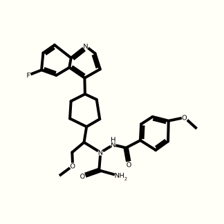 COCC(C1CCC(c2ccnc3ccc(F)cc23)CC1)N(NC(=O)c1ccc(OC)cc1)C(N)=O